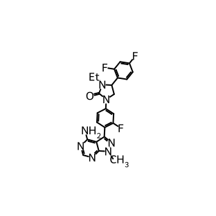 CCN1C(=O)N(c2ccc(-c3nn(C)c4ncnc(N)c34)c(F)c2)CC1c1ccc(F)cc1F